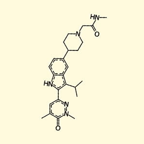 CNC(=O)CN1CCC(c2ccc3[nH]c(-c4cc(C)c(=O)n(C)n4)c(C(C)C)c3c2)CC1